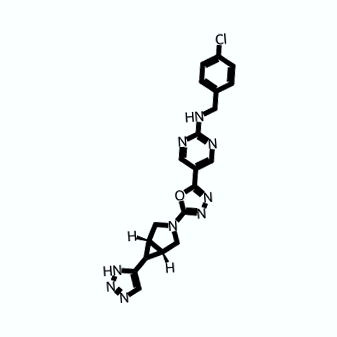 Clc1ccc(CNc2ncc(-c3nnc(N4C[C@@H]5C(c6cnn[nH]6)[C@@H]5C4)o3)cn2)cc1